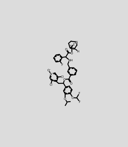 CC(C)Oc1cc(C(Cc2c(Cl)c[n+]([O-])cc2Cl)OC(=O)c2cccc(CNC(C(=O)O[C@H]3CN4CCC3CC4)c3ccccc3F)c2)ccc1OC(F)F